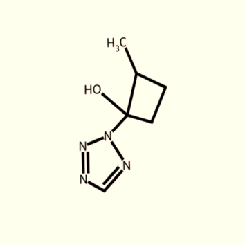 CC1CCC1(O)n1ncnn1